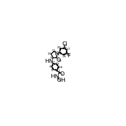 O=C(NO)c1ccc(NC2CCN(c3cc(F)cc(Cl)c3)C2=O)cc1